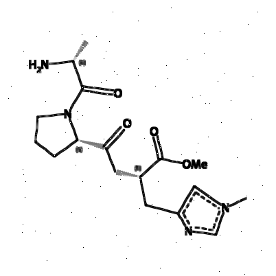 COC(=O)[C@@H](CC(=O)[C@@H]1CCCN1C(=O)[C@@H](C)N)Cc1cn(C)cn1